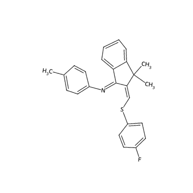 Cc1ccc(N=C2C(=CSc3ccc(F)cc3)C(C)(C)c3ccccc32)cc1